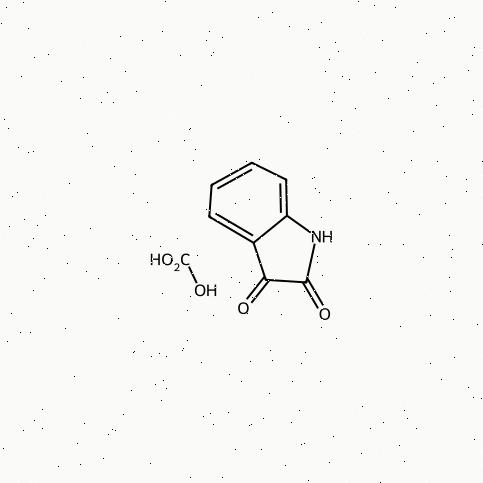 O=C(O)O.O=C1Nc2ccccc2C1=O